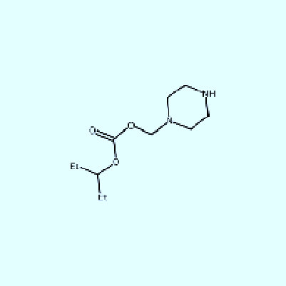 CCC(CC)OC(=O)OCN1CCNCC1